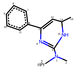 CCCN(C)C1=NC(c2ccccc2)=CC(C)N1